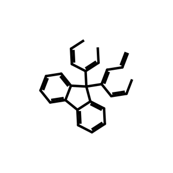 C=C/C=C(\C=C/C)C1(C(/C=C\C)=C/C)c2ccccc2-c2ccccc21